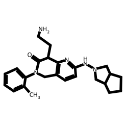 Cc1ccccc1N1Cc2ccc(NN3CC4CCCC4C3)nc2C(CCN)C1=O